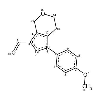 COc1ccc(-n2nc(C=O)c3c2CCOC3)cc1